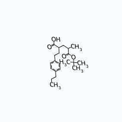 CCCc1ccc(CCC(CC(C)C(=O)OC(C)(C)C)C(=O)O)cc1